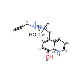 C#CCNNC(C)(Cc1ccc(O)c2ncccc12)C(=O)O